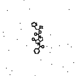 CC[C@H](Cc1cccs1)OC(=O)N1CCC2C1C(=O)CN2C(=O)c1ccccc1